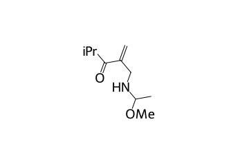 C=C(CNC(C)OC)C(=O)C(C)C